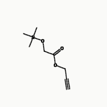 C#CCOC(=O)CO[Si](C)(C)C